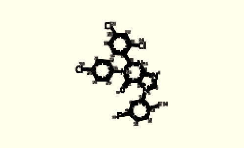 O=c1c2c(ncn2-c2cc(F)ccc2F)nc(-c2ccc(Cl)cc2Cl)n1-c1ccc(Cl)cc1